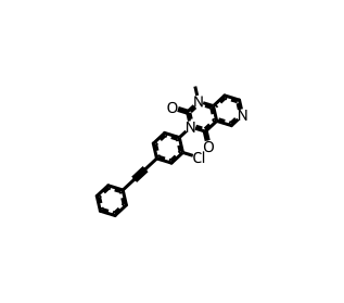 Cn1c(=O)n(-c2ccc(C#Cc3ccccc3)cc2Cl)c(=O)c2cnccc21